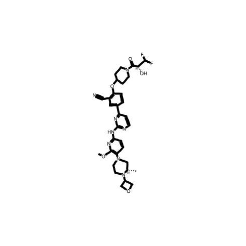 COc1nc(Nc2nccc(-c3ccc(OC4CCN(C(=O)[C@@H](O)C(F)F)CC4)c(C#N)c3)n2)ccc1N1CCN(C2COC2)[C@@H](C)C1